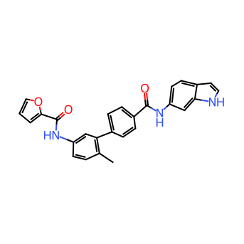 Cc1ccc(NC(=O)c2ccco2)cc1-c1ccc(C(=O)Nc2ccc3cc[nH]c3c2)cc1